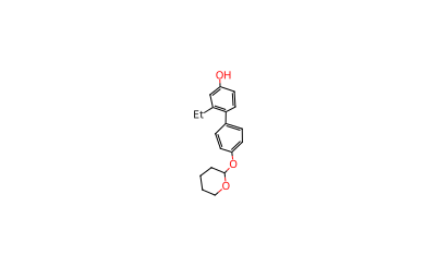 CCc1cc(O)ccc1-c1ccc(OC2CCCCO2)cc1